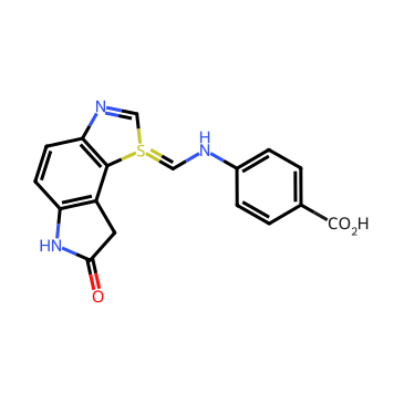 O=C1Cc2c(ccc3c2/S(=C/Nc2ccc(C(=O)O)cc2)C=N3)N1